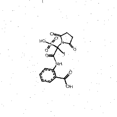 O=C(O)c1ccccc1NC(=O)C(I)(N1C(=O)CCC1=O)S(=O)(=O)O